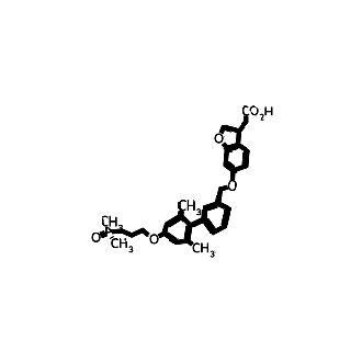 Cc1cc(OCCCP(C)(C)=O)cc(C)c1-c1cccc(COc2ccc3c(c2)OCC3CC(=O)O)c1